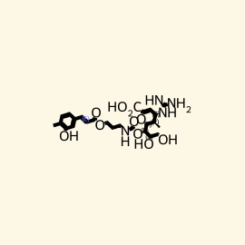 Cc1ccc(/C=C/C(=O)OCCCNC(=O)O[C@@H]([C@@H]2OC(C(=O)O)=C[C@H](NC(=N)N)[C@H]2C)[C@H](O)CO)cc1O